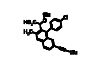 Cc1cc2ccc(C#CC(C)(C)C)cc2c(-c2ccc(Cl)cc2)c1C(OC(C)(C)C)C(=O)O